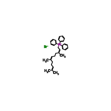 CC(C)=CCCC(C)=CCCC(C)=CC[P+](c1ccccc1)(c1ccccc1)c1ccccc1.[Br-]